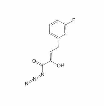 [N-]=[N+]=NC(=O)/C(O)=C/Cc1cccc(F)c1